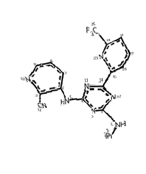 CC(C)Nc1nc(Nc2cccnc2C#N)nc(-c2cccc(C(F)(F)F)n2)n1